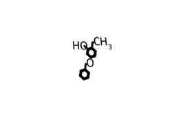 CCc1ccc(OCc2ccccc2)cc1O